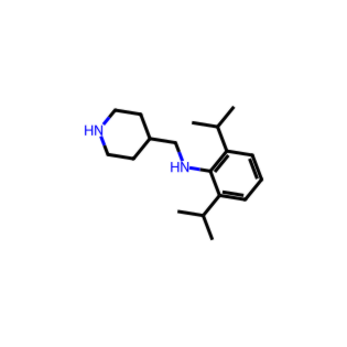 CC(C)c1cccc(C(C)C)c1NCC1CCNCC1